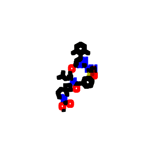 COC(=O)N1CCCC2(CC(N3C(=O)c4cccc(c4)S(=O)(=O)Nc4nc(cc(-c5c(C)cccc5C)n4)OC[C@H]3CC(C)C)C2)C1